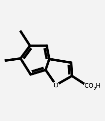 Cc1cc2cc(C(=O)O)oc2cc1C